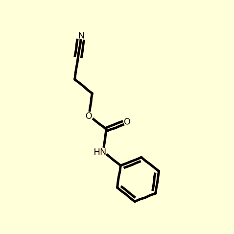 N#CCCOC(=O)Nc1ccccc1